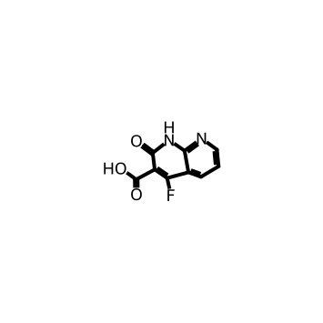 O=C(O)c1c(F)c2cccnc2[nH]c1=O